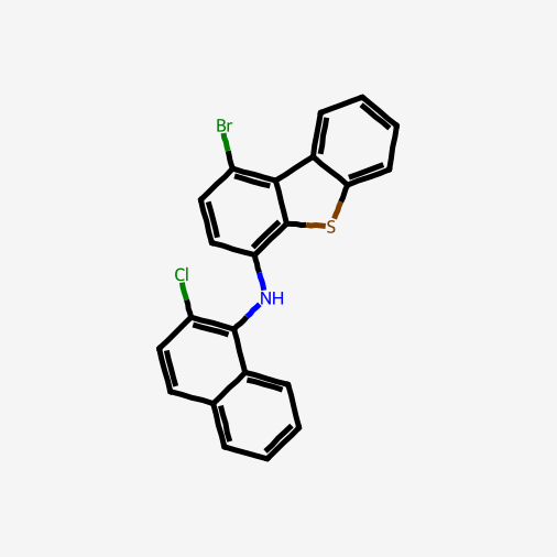 Clc1ccc2ccccc2c1Nc1ccc(Br)c2c1sc1ccccc12